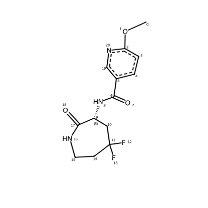 COc1ccc(C(=O)N[C@@H]2CC(F)(F)CCNC2=O)cn1